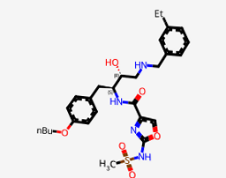 CCCCOc1ccc(C[C@H](NC(=O)c2coc(NS(C)(=O)=O)n2)[C@H](O)CNCc2cccc(CC)c2)cc1